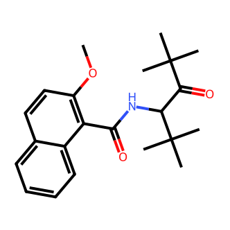 COc1ccc2ccccc2c1C(=O)NC(C(=O)C(C)(C)C)C(C)(C)C